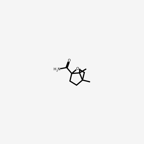 CC12CCC(C(N)=O)(OC1)C2(C)C